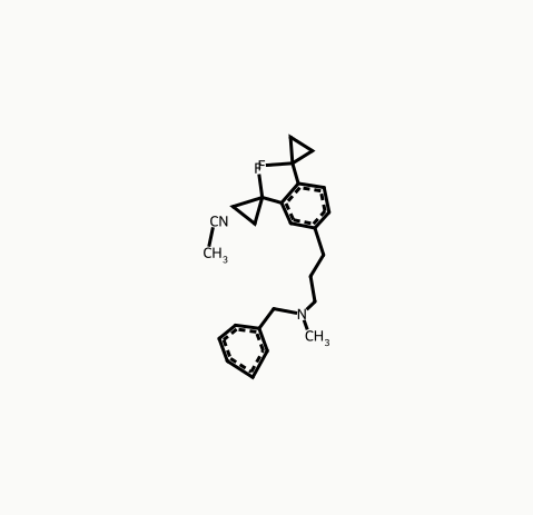 CC#N.CN(CCCc1ccc(C2(F)CC2)c(C2(F)CC2)c1)Cc1ccccc1